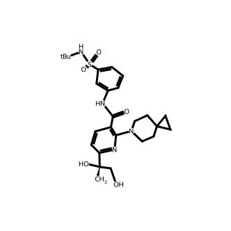 CC(C)(C)NS(=O)(=O)c1cccc(NC(=O)c2ccc([C@@](C)(O)CO)nc2N2CCC3(CC2)CC3)c1